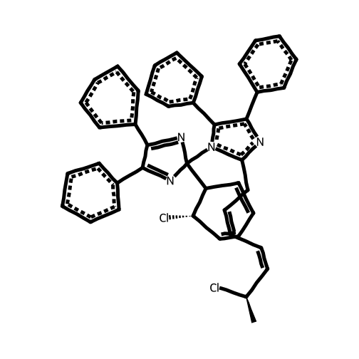 C[C@@H](Cl)/C=C\C=C/Cc1nc(-c2ccccc2)c(-c2ccccc2)n1C1(C2C=CC=C[C@@H]2Cl)N=C(c2ccccc2)C(c2ccccc2)=N1